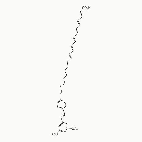 CC(=O)Oc1cc(/C=C/c2ccc(CCCCCCCCC/C=C/C=C/C=C/C=C/C=C/C=C/C(=O)O)cc2)cc(OC(C)=O)c1